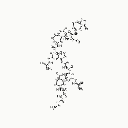 C=C(/C=C(\C=C/C)C(=O)N[C@H](CCCNC(=N)N)C(=O)NC1=CCC=C(COC)C(C(=O)N[C@H](CCC)C(=O)NC2=CCC=C(CC)C(C=O)=C2)=C1)NC(=O)[C@@H](CCCNC(=N)N)NC(=O)c1cc(NC(=O)[C@@H](C)NC(=O)CCN)ccc1CC